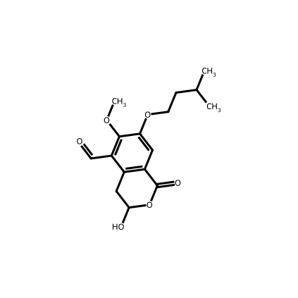 COc1c(OCCC(C)C)cc2c(c1C=O)CC(O)OC2=O